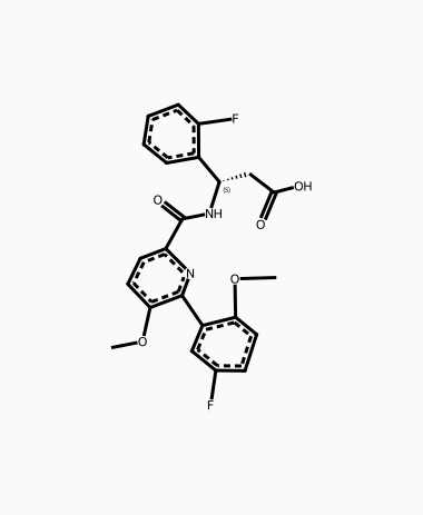 COc1ccc(F)cc1-c1nc(C(=O)N[C@@H](CC(=O)O)c2ccccc2F)ccc1OC